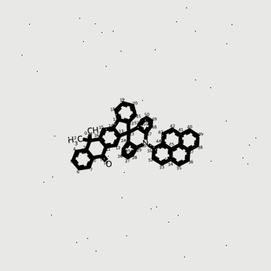 CC1(C)c2ccccc2C(=O)c2cc3c(cc21)-c1ccccc1C31c2ccccc2N(c2ccc3ccc4cccc5ccc2c3c45)c2ccccc21